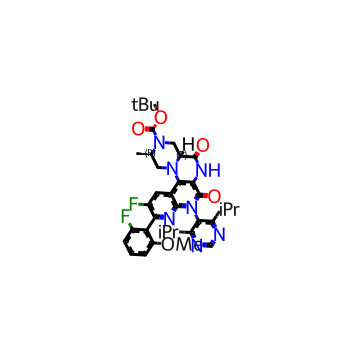 COc1cccc(F)c1-c1nc2c(cc1F)c1c(c(=O)n2-c2c(C(C)C)ncnc2C(C)C)NC(=O)[C@H]2CN(C(=O)OC(C)(C)C)[C@H](C)CN12